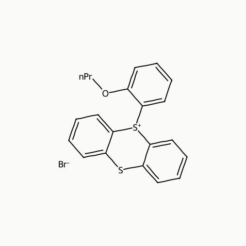 CCCOc1ccccc1[S+]1c2ccccc2Sc2ccccc21.[Br-]